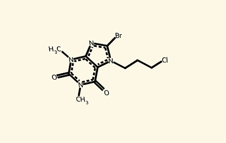 Cn1c(=O)c2c(nc(Br)n2CCCCl)n(C)c1=O